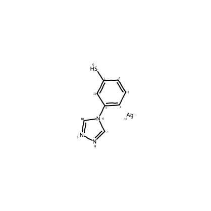 Sc1cccc(-n2cnnc2)c1.[Ag]